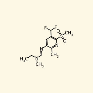 CCN(C)/C=N/c1cc(C(F)F)c(S(C)(=O)=O)nc1C